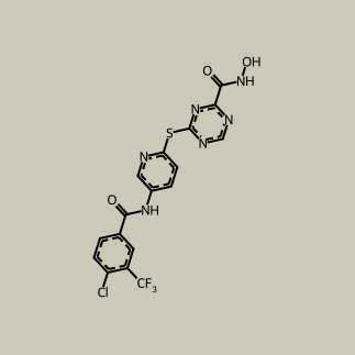 O=C(Nc1ccc(Sc2ncnc(C(=O)NO)n2)nc1)c1ccc(Cl)c(C(F)(F)F)c1